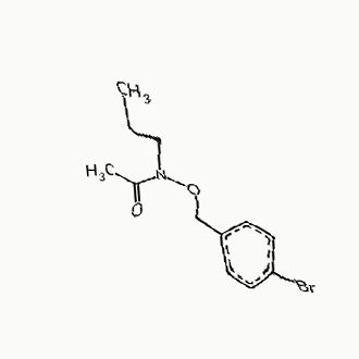 CCCN(OCc1ccc(Br)cc1)C(C)=O